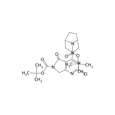 CC(C)(C)OC(=O)N1Cc2nc(Cl)nc(N3CC4CCC(C3)N4C(=O)OC(C)(C)C)c2C1=O